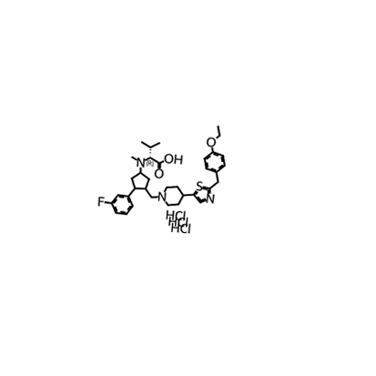 CCOc1ccc(Cc2ncc(C3CCN(CC4CC(N(C)[C@@H](C(=O)O)C(C)C)CC4c4cccc(F)c4)CC3)s2)cc1.Cl.Cl.Cl